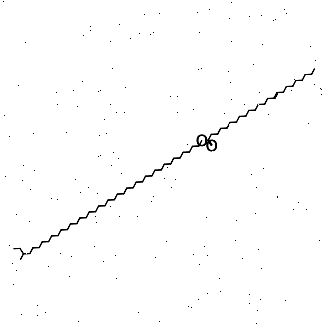 CCCCCCCCC=CCCCCCCCCCCCCCC(=O)OCCCCCCCCCCCCCCCCCCCCCCCCCCCCCCCCCCCCCC(C)CC